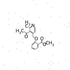 COC(=O)c1ccccc1OCc1ccnc(C)c1C(C)=O